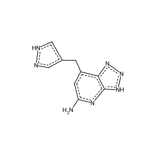 Nc1cc(Cc2cn[nH]c2)c2nn[nH]c2n1